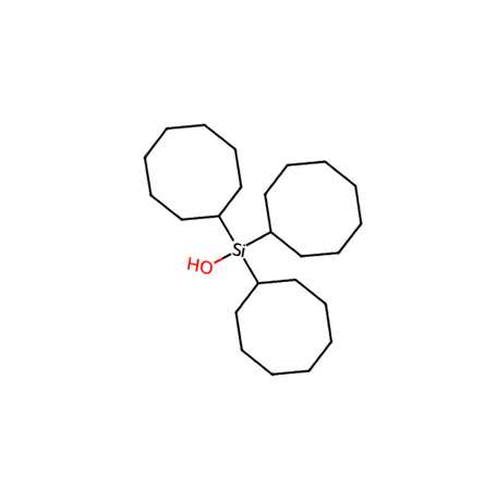 O[Si](C1CCCCCCC1)(C1CCCCCCC1)C1CCCCCCC1